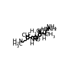 C[C@H](N)CCCc1cc(Cl)c(F)c(-c2cc3cn(-c4ccc(CN[C@@H](C)CCNC(=N)N)c(N(C)C)c4)c(=O)nc3[nH]2)c1